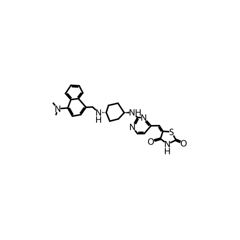 CN(C)c1ccc(CN[C@H]2CC[C@H](Nc3nccc(C=C4SC(=O)NC4=O)n3)CC2)c2ccccc12